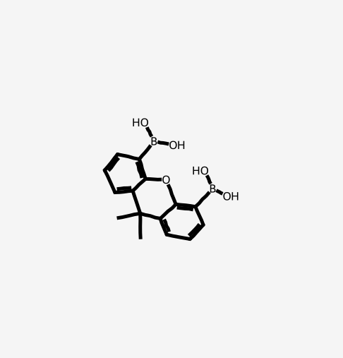 CC1(C)c2cccc(B(O)O)c2Oc2c(B(O)O)cccc21